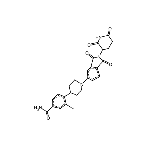 NC(=O)c1ccc(C2CCN(c3ccc4c(c3)C(=O)N(C3CCC(=O)NC3=O)C4=O)CC2)c(F)c1